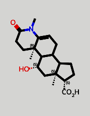 CN1C(=O)CC[C@@]2(C)C1=CCC1C2[C@@H](O)C[C@@]2(C)C1CC[C@@H]2C(=O)O